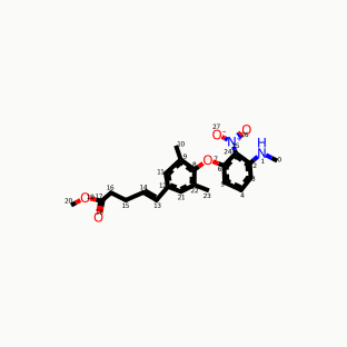 CNc1cccc(Oc2c(C)cc(/C=C/CCC(=O)OC)cc2C)c1[N+](=O)[O-]